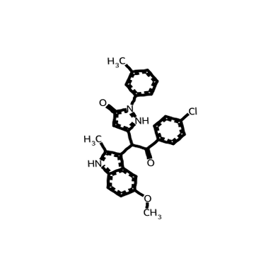 COc1ccc2[nH]c(C)c(C(C(=O)c3ccc(Cl)cc3)c3cc(=O)n(-c4cccc(C)c4)[nH]3)c2c1